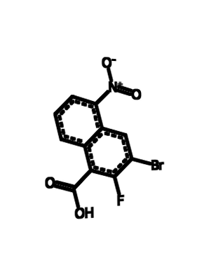 O=C(O)c1c(F)c(Br)cc2c([N+](=O)[O-])cccc12